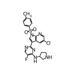 Cc1ccc(S(=O)(=O)n2cc(-c3ncc(F)c(NC4CCNC4)n3)c3cc(Cl)cnc32)cc1